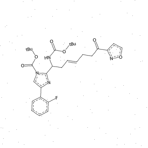 CC(C)(C)OC(=O)NC(CC=CCCC(=O)c1ccon1)c1nc(-c2ccccc2F)cn1C(=O)OC(C)(C)C